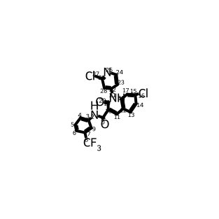 O=C(Nc1cccc(C(F)(F)F)c1)/C(=C/c1ccc(Cl)cc1)C(=O)Nc1ccnc(Cl)c1